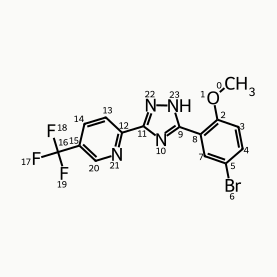 COc1ccc(Br)cc1-c1nc(-c2ccc(C(F)(F)F)cn2)n[nH]1